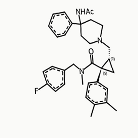 CC(=O)NC1(c2ccccc2)CCN(C[C@@H]2C[C@@]2(C(=O)N(C)Cc2ccc(F)cc2)c2ccc(C)c(C)c2)CC1